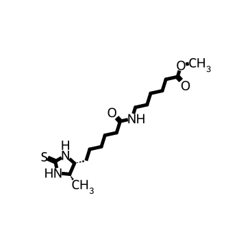 COC(=O)CCCCCNC(=O)CCCCC[C@H]1NC(=S)N[C@H]1C